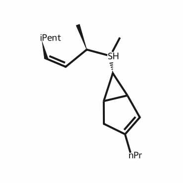 CCCC1=CC2C(C1)[C@@H]2[SH](C)[C@H](C)/C=C\[C@H](C)CCC